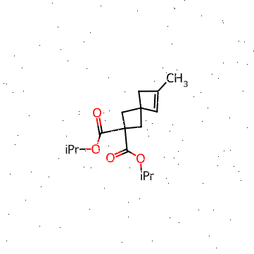 CC1=CC2(C1)CC(C(=O)OC(C)C)(C(=O)OC(C)C)C2